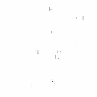 CC(C)(C)OC(=O)N1CCCC1(N)c1ncccn1